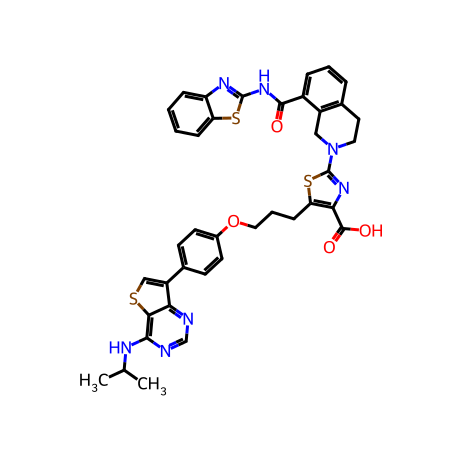 CC(C)Nc1ncnc2c(-c3ccc(OCCCc4sc(N5CCc6cccc(C(=O)Nc7nc8ccccc8s7)c6C5)nc4C(=O)O)cc3)csc12